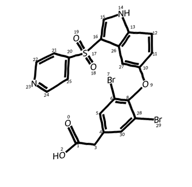 O=C(O)Cc1cc(Br)c(Oc2ccc3[nH]cc(S(=O)(=O)c4ccncc4)c3c2)c(Br)c1